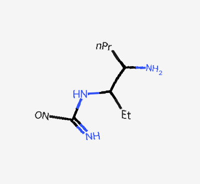 CCCC(N)C(CC)NC(=N)N=O